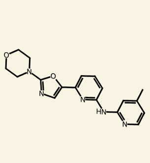 Cc1ccnc(Nc2cccc(-c3cnc(N4CCOCC4)o3)n2)c1